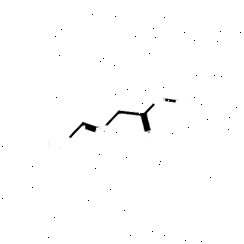 C/C=N/CC(=O)OC(C)(C)C